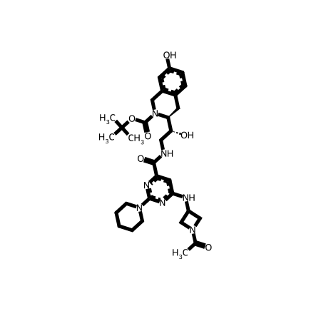 CC(=O)N1CC(Nc2cc(C(=O)NC[C@@H](O)[C@@H]3Cc4ccc(O)cc4CN3C(=O)OC(C)(C)C)nc(N3CCCCC3)n2)C1